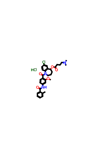 COc1cc(NC(=O)c2ccccc2C)ccc1C(=O)N1CCCC(OC(=O)CCCN(C)C)c2cc(Cl)ccc21.Cl